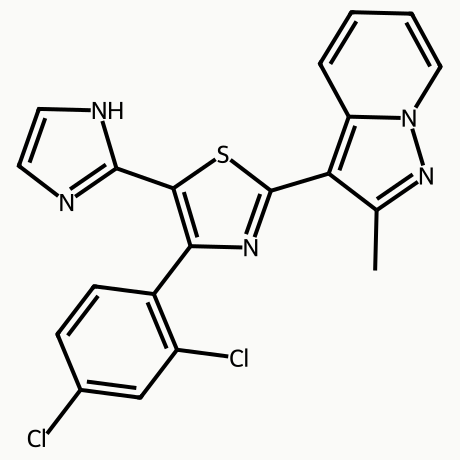 Cc1nn2ccccc2c1-c1nc(-c2ccc(Cl)cc2Cl)c(-c2ncc[nH]2)s1